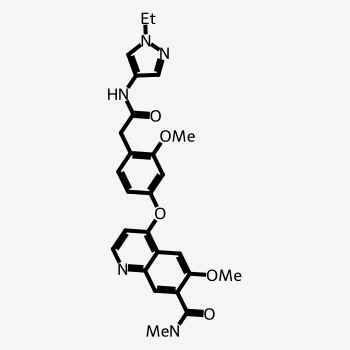 CCn1cc(NC(=O)Cc2ccc(Oc3ccnc4cc(C(=O)NC)c(OC)cc34)cc2OC)cn1